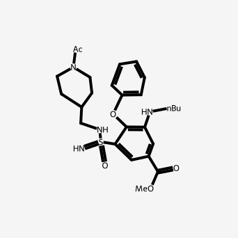 CCCCNc1cc(C(=O)OC)cc(S(=N)(=O)NCC2CCN(C(C)=O)CC2)c1Oc1ccccc1